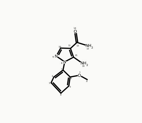 COc1ccccc1-n1ncc(C(N)=O)c1N